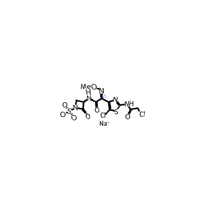 CO/N=C(\C(=O)NC1CN(S(=O)(=O)[O-])C1=O)c1nc(NC(=O)CCl)sc1Cl.[Na+]